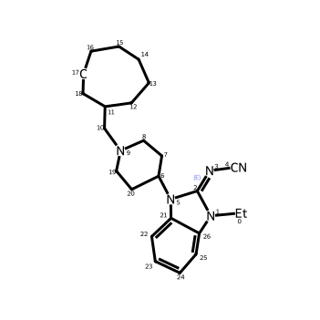 CCn1/c(=N\C#N)n(C2CCN(CC3CCCCCCC3)CC2)c2ccccc21